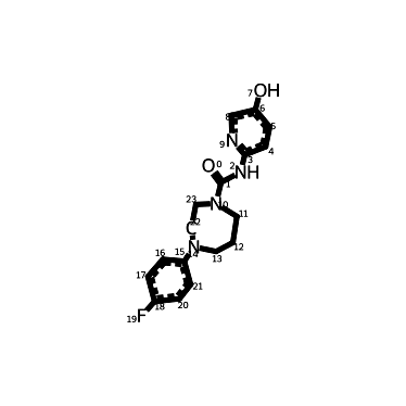 O=C(Nc1ccc(O)cn1)N1CCCN(c2ccc(F)cc2)CC1